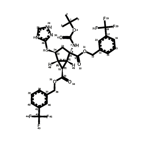 CC(C)(C)OC(=O)N[C@@]1(C(=O)OCc2cccc(C(F)(F)F)c2)C[C@H](Sc2nc[nH]n2)[C@H]2[C@H](C(=O)OCc3cccc(C(F)(F)F)c3)[C@H]21